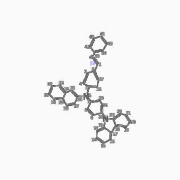 C(=C\c1ccc(N(c2ccc(-n3c4ccccc4c4ccccc43)cc2)c2ccc3ccccc3c2)cc1)/c1ccccc1